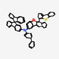 c1ccc(-c2ccc(N(c3ccc4c(c3)C3(c5ccccc5-c5ccccc53)c3ccccc3-4)c3ccc4oc5c(-c6cccc7c6sc6ccccc67)c6ccccc6cc5c4c3)cc2)cc1